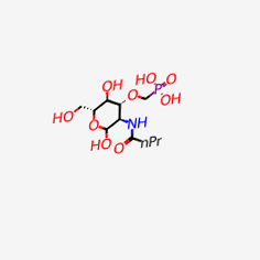 CCCC(=O)N[C@H]1C(O)O[C@H](CO)[C@@H](O)[C@@H]1OCP(=O)(O)O